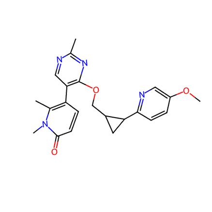 COc1ccc(C2CC2COc2nc(C)ncc2-c2ccc(=O)n(C)c2C)nc1